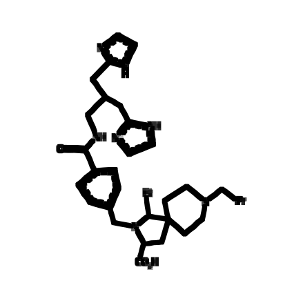 CCC1N(Cc2ccc(C(=O)NCC(Cc3ncc[nH]3)Cc3ncc[nH]3)cc2)C(C(=O)O)CC12CCN(CC(C)C)CC2